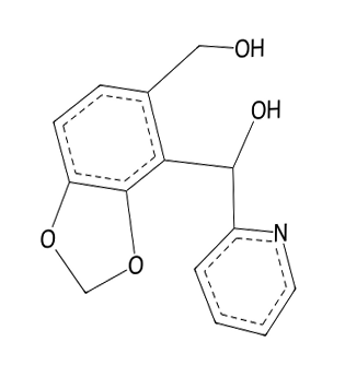 OCc1ccc2c(c1C(O)c1ccccn1)OCO2